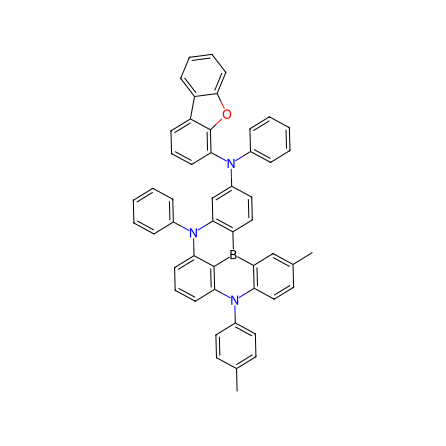 Cc1ccc(N2c3ccc(C)cc3B3c4ccc(N(c5ccccc5)c5cccc6c5oc5ccccc56)cc4N(c4ccccc4)c4cccc2c43)cc1